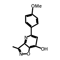 COc1ccc(-c2cc(O)c3onc(C)c3n2)cc1